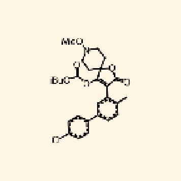 CON1CCC2(CC1)OC(=O)C(c1cc(-c3ccc(Cl)cc3)ccc1C)=C2OC(=O)OCC(C)C